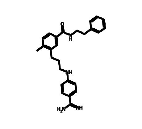 Cc1ccc(C(=O)NCCc2ccccc2)cc1CCCNc1ccc(C(=N)N)cc1